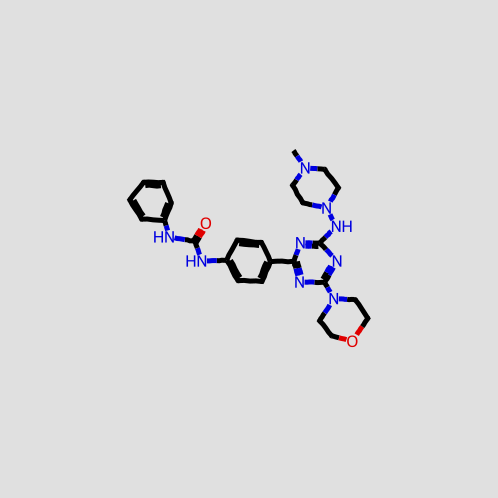 CN1CCN(Nc2nc(-c3ccc(NC(=O)Nc4ccccc4)cc3)nc(N3CCOCC3)n2)CC1